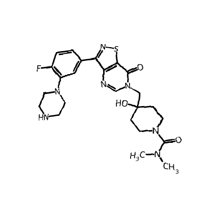 CN(C)C(=O)N1CCC(O)(Cn2cnc3c(-c4ccc(F)c(N5CCNCC5)c4)nsc3c2=O)CC1